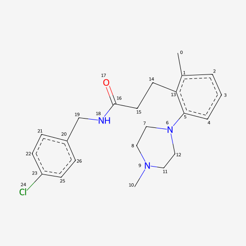 Cc1cccc(N2CCN(C)CC2)c1CCC(=O)NCc1ccc(Cl)cc1